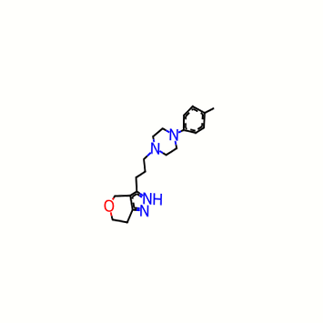 Cc1ccc(N2CCN(CCCc3[nH]nc4c3COCC4)CC2)cc1